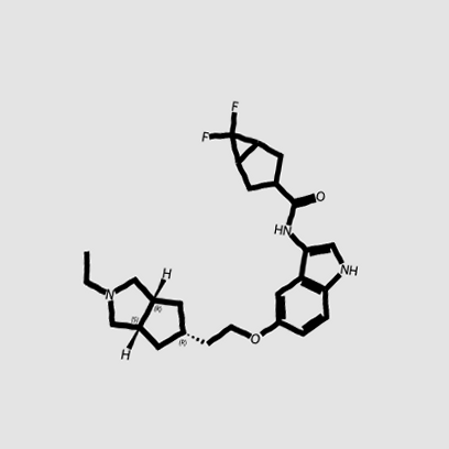 CCN1C[C@H]2C[C@@H](CCOc3ccc4[nH]cc(NC(=O)C5CC6C(C5)C6(F)F)c4c3)C[C@H]2C1